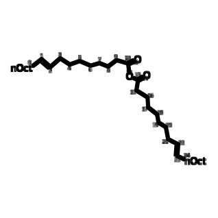 CCCCCCCCC=CCCCCCCCC(=O)OC(=O)CCCCCCCC=CCCCCCCCC